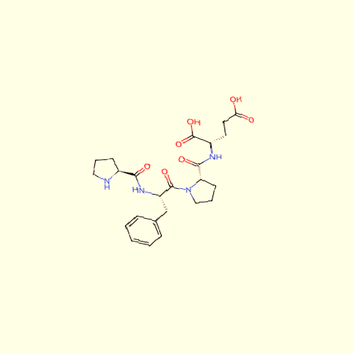 O=C(O)CC[C@H](NC(=O)[C@@H]1CCCN1C(=O)[C@H](Cc1ccccc1)NC(=O)[C@@H]1CCCN1)C(=O)O